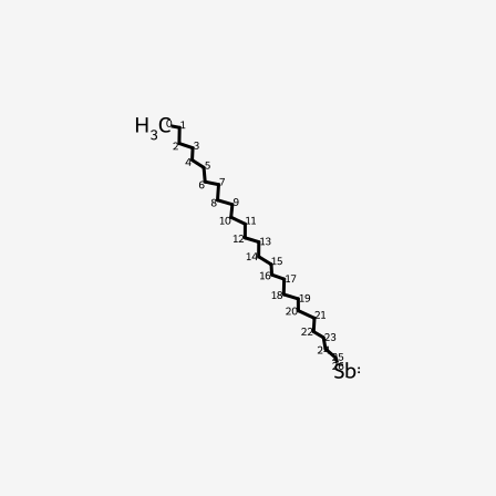 CCCCCCCCCCCCCCCCCCCCCCCCC[CH2][Sb]